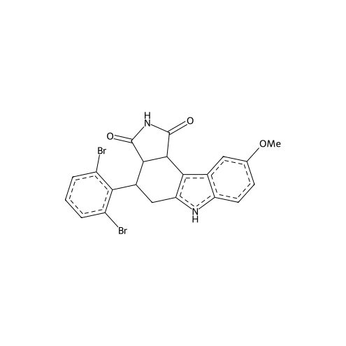 COc1ccc2[nH]c3c(c2c1)C1C(=O)NC(=O)C1C(c1c(Br)cccc1Br)C3